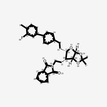 Cc1ccc(-c2ccc(CC[C@@H]3O[C@@H]4OC(C)(C)O[C@@H]4[C@@H]3CCN3C(=O)c4ccccc4C3=O)cc2)cc1F